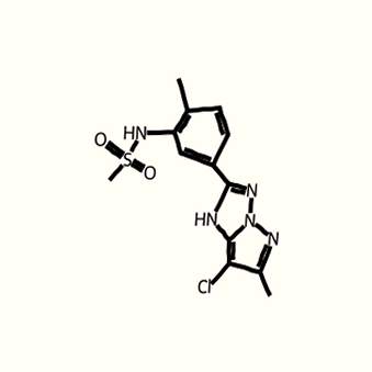 Cc1ccc(-c2nn3nc(C)c(Cl)c3[nH]2)cc1NS(C)(=O)=O